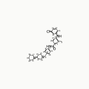 Cc1cc(C(=O)Nc2ccc(CN3CCC(N4CCCCC4)CC3)cc2)ccc1Nc1cccc(Cl)c1